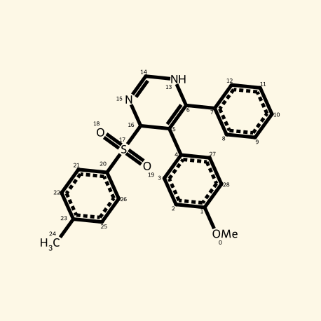 COc1ccc(C2=C(c3ccccc3)NC=NC2S(=O)(=O)c2ccc(C)cc2)cc1